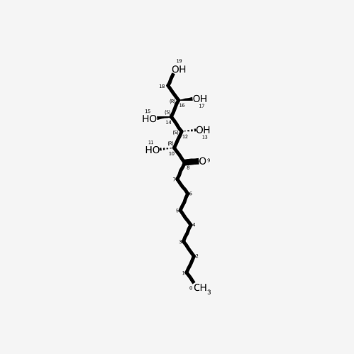 CCCCCCCCC(=O)[C@H](O)[C@@H](O)[C@@H](O)[C@H](O)CO